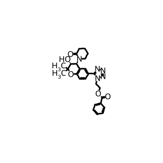 CC1(C)Oc2ccc(-c3nnnn3CCOC(=O)c3ccccc3)cc2[C@H](N2CCCCC2=O)[C@H]1O